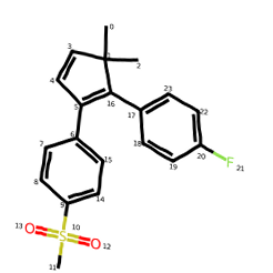 CC1(C)C=CC(c2ccc(S(C)(=O)=O)cc2)=C1c1ccc(F)cc1